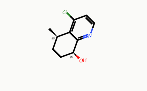 C[C@@H]1CC[C@H](O)c2nccc(Cl)c21